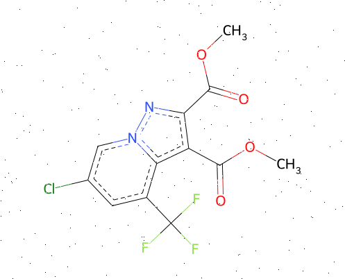 COC(=O)c1nn2cc(Cl)cc(C(F)(F)F)c2c1C(=O)OC